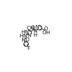 CC1=C(C(=O)Nc2cc(C(=O)O)ccn2)CN=C(Nc2nc3ccc(F)cc3o2)N1